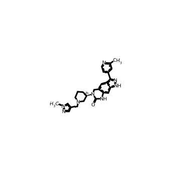 Cc1cc(-c2n[nH]c3cc4c(cc23)CN([C@@H]2CCCN(Cc3cnn(C)c3)C2)C(=O)N4)ccn1